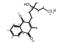 CC1=C(CCC(C)(O)CCC(=O)O)C(=O)c2ccccc2C1=O